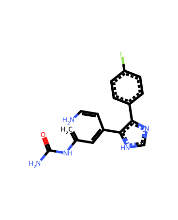 C=C(/C=C(\C=C/N)c1[nH]cnc1-c1ccc(F)cc1)NC(N)=O